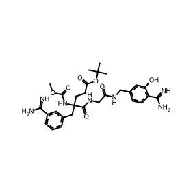 COC(=O)NC(CCC(=O)OC(C)(C)C)(Cc1cccc(C(=N)N)c1)C(=O)NCC(=O)NCc1ccc(C(=N)N)c(O)c1